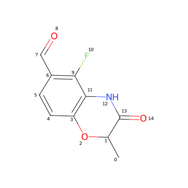 CC1Oc2ccc(C=O)c(F)c2NC1=O